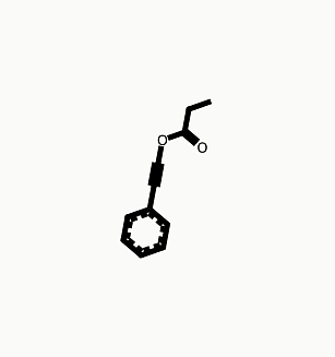 CCC(=O)OC#Cc1ccccc1